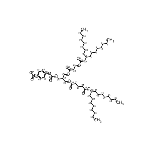 CCCCCCCCC(CCCCCCCC)CC(=O)OCCC(=O)OCC(COC(=O)CCCC(=O)OC(CCCCCCCC)CCCCCCCC)COC(=O)Oc1ccc([N+](=O)[O-])cc1